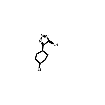 CCC1CCC(C2=NN=NC2=N)CC1